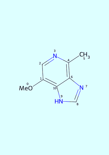 COc1cnc(C)c2nc[nH]c12